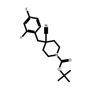 CC(C)(C)OC(=O)N1CCC(C#N)(Cc2ccc(F)cc2F)CC1